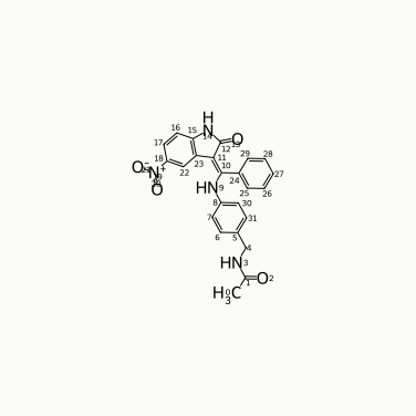 CC(=O)NCc1ccc(NC(=C2C(=O)Nc3ccc([N+](=O)[O-])cc32)c2ccccc2)cc1